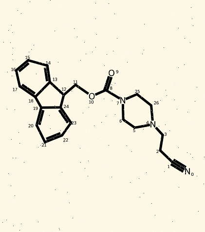 N#CCCN1CCN(C(=O)OCC2c3ccccc3-c3ccccc32)CC1